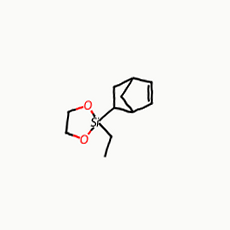 CC[Si]1(C2CC3C=CC2C3)OCCO1